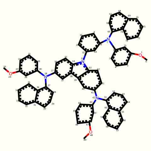 COc1cccc(N(c2cccc(-n3c4ccc(N(c5cccc(OC)c5)c5cccc6ccccc56)cc4c4cc(N(c5cccc(OC)c5)c5cccc6ccccc56)ccc43)c2)c2cccc3ccccc23)c1